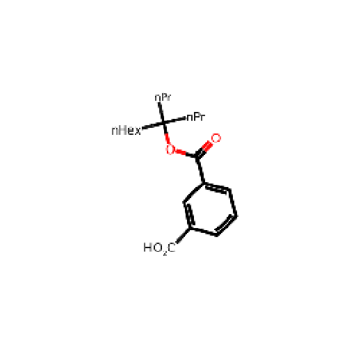 CCCCCCC(CCC)(CCC)OC(=O)c1cccc(C(=O)O)c1